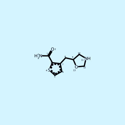 NC(=O)c1sccc1CC1CNCO1